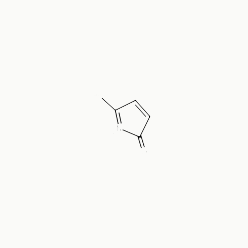 O=C1C=CC(Br)=N1